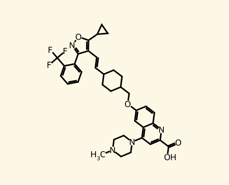 CN1CCN(c2cc(C(=O)O)nc3ccc(OCC4CCC(/C=C/c5c(-c6ccccc6C(F)(F)F)noc5C5CC5)CC4)cc23)CC1